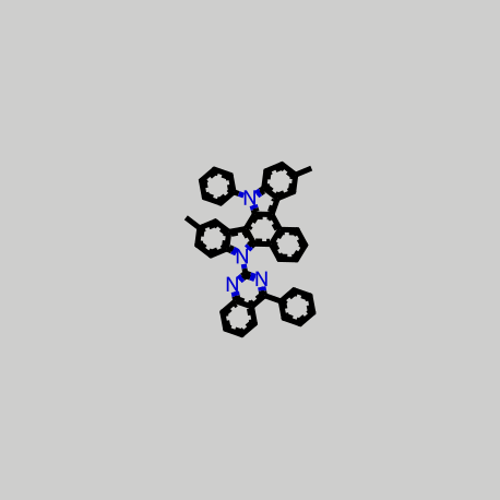 Cc1ccc2c(c1)c1c(c3ccccc3c3c4cc(C)ccc4n(-c4ccccc4)c31)n2-c1nc(-c2ccccc2)c2ccccc2n1